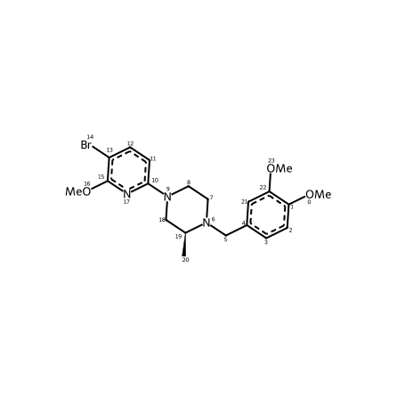 COc1ccc(CN2CCN(c3ccc(Br)c(OC)n3)C[C@@H]2C)cc1OC